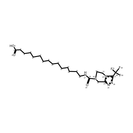 O=C(O)CCCCCCCCCCCCCCNC(=O)N1CCn2c(nnc2C(F)(F)F)C1